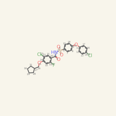 O=C(NS(=O)(=O)c1ccc(Oc2ccc(Cl)cc2)cc1)c1cc(Cl)c(OCC2CCCC2)cc1F